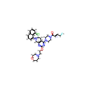 O=C(/C=C/CF)N1CCN(c2nc(OCCN3CCCOCC3)nc3c2CCN(c2cccc4cccc(Cl)c24)C3)CC1